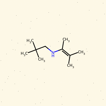 CC(C)=C(C)NCC(C)(C)C